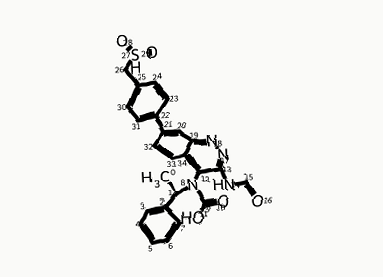 C[C@H](c1ccccc1)N(C(=O)O)c1c(NC=O)nnc2cc(-c3ccc(C[SH](=O)=O)cc3)ccc12